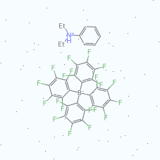 CC[NH+](CC)c1ccccc1.Fc1c(F)c(F)c([B-](c2c(F)c(F)c(F)c(F)c2F)(c2c(F)c(F)c(F)c(F)c2F)c2c(F)c(F)c(F)c(F)c2F)c(F)c1F